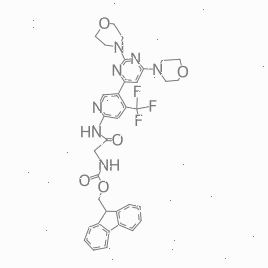 O=C(CNC(=O)OCC1c2ccccc2-c2ccccc21)Nc1cc(C(F)(F)F)c(-c2cc(N3CCOCC3)nc(N3CCOCC3)n2)cn1